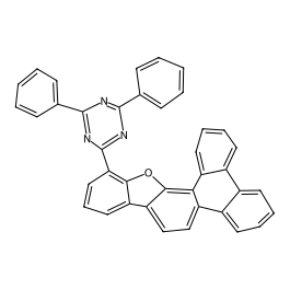 c1ccc(-c2nc(-c3ccccc3)nc(-c3cccc4c3oc3c4ccc4c5ccccc5c5ccccc5c43)n2)cc1